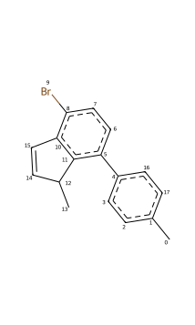 Cc1ccc(-c2ccc(Br)c3c2C(C)C=C3)cc1